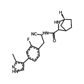 Cc1n[nH]cc1-c1ccc(CC(C#N)NC(=O)C2N[C@@H]3CCC2C3)c(F)c1